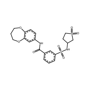 O=C(Nc1ccc2c(c1)OCCCO2)c1cccc(S(=O)(=O)NC2CCS(=O)(=O)C2)c1